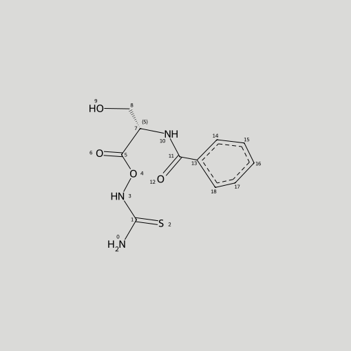 NC(=S)NOC(=O)[C@H](CO)NC(=O)c1ccccc1